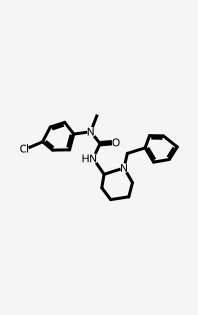 CN(C(=O)NC1CCCCN1Cc1ccccc1)c1ccc(Cl)cc1